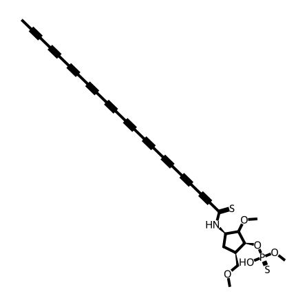 CC#CC#CC#CC#CC#CC#CC#CC#CC#CC#CC(=S)N[C@@H]1C[C@H](COC)[C@H](OP(O)(=S)OC)C1OC